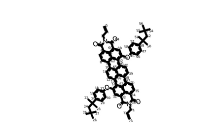 C=CCN1C(=O)c2ccc3c4ccc5c6c(Oc7ccc(C(C)(C)CC(C)(C)C)cc7)cc7c8c(ccc(c9ccc(c%10c(Oc%11ccc(C(C)(C)CC(C)(C)C)cc%11)cc(c2c3%10)C1=O)c4c95)c86)C(=O)N(CC=C)C7=O